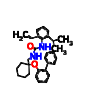 C=Cc1cccc(C(C)C)c1NC(=O)NCC1(Oc2ccccc2-c2ccccc2)CCCCC1